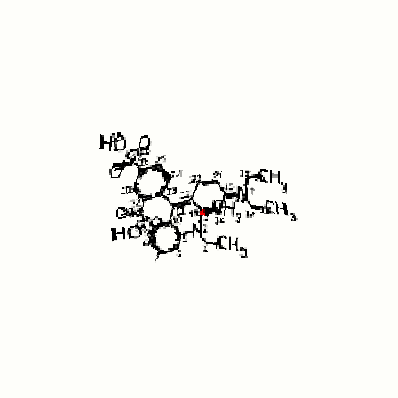 CCN(CC)c1ccccc1C(=C1C=CC(=[N+](CC)CC)C=C1)c1ccc(S(=O)(=O)O)cc1S(=O)(=O)O